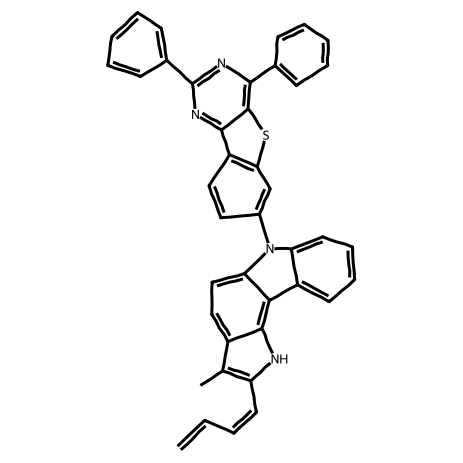 C=C/C=C\c1[nH]c2c(ccc3c2c2ccccc2n3-c2ccc3c(c2)sc2c(-c4ccccc4)nc(-c4ccccc4)nc23)c1C